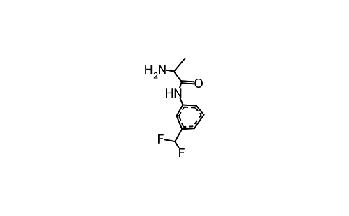 CC(N)C(=O)Nc1cccc(C(F)F)c1